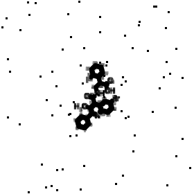 Cc1c(-c2ccccc2)nc2ccc(Br)cc2c1C(=O)NCC(C(=O)O)c1ccccc1F